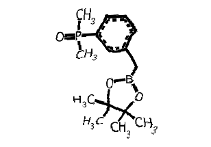 CC1(C)OB(Cc2cccc(P(C)(C)=O)c2)OC1(C)C